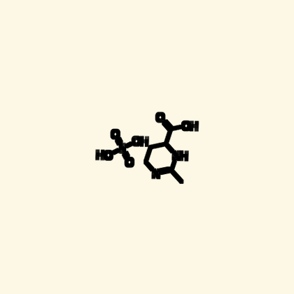 CC1=NCCC(C(=O)O)N1.O=S(=O)(O)O